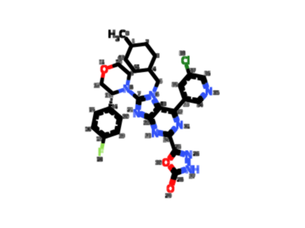 CC1CCC(Cn2c(N3CCOC[C@H]3c3ccc(F)cc3)nc3nc(-c4n[nH]c(=O)o4)nc(-c4cncc(Cl)c4)c32)CC1